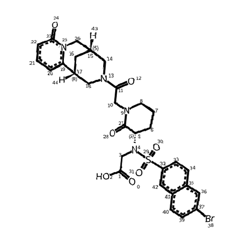 O=C(O)CN([C@H]1CCCN(CC(=O)N2C[C@@H]3C[C@H](C2)c2cccc(=O)n2C3)C1=O)S(=O)(=O)c1ccc2cc(Br)ccc2c1